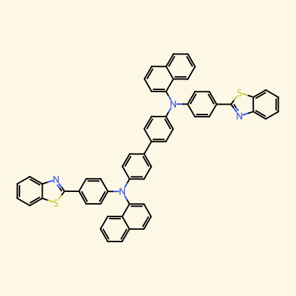 c1ccc2c(N(c3ccc(-c4ccc(N(c5ccc(-c6nc7ccccc7s6)cc5)c5cccc6ccccc56)cc4)cc3)c3ccc(-c4nc5ccccc5s4)cc3)cccc2c1